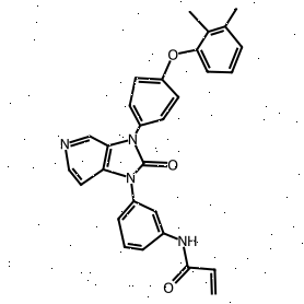 C=CC(=O)Nc1cccc(-n2c(=O)n(-c3ccc(Oc4cccc(C)c4C)cc3)c3cnccc32)c1